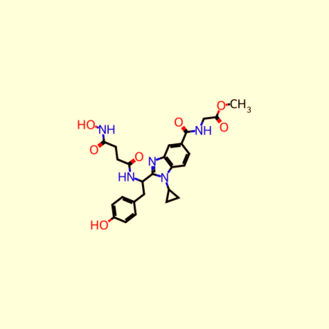 COC(=O)CNC(=O)c1ccc2c(c1)nc(C(Cc1ccc(O)cc1)NC(=O)CCC(=O)NO)n2C1CC1